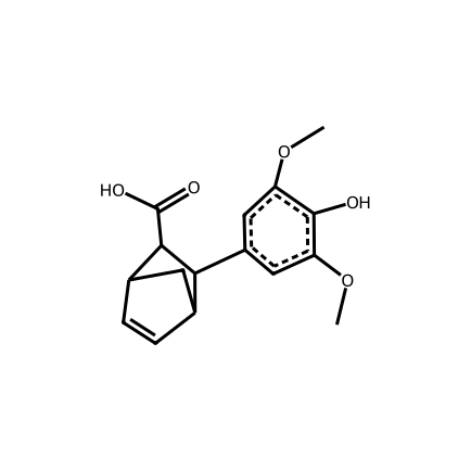 COc1cc(C2C3C=CC(C3)C2C(=O)O)cc(OC)c1O